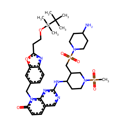 CC(C)(C)[Si](C)(C)OCCc1nc2ccc(Cn3c(=O)ccc4cnc(NC5CCN(S(C)(=O)=O)CC5CS(=O)(=O)N5CCC(N)CC5)nc43)cc2o1